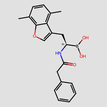 Cc1ccc(C)c2c(C[C@H](NC(=O)Cc3ccccc3)B(O)O)coc12